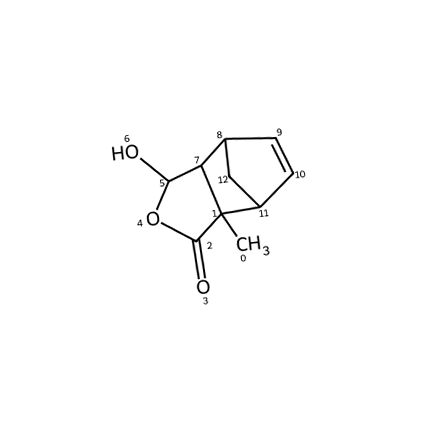 CC12C(=O)OC(O)C1C1C=CC2C1